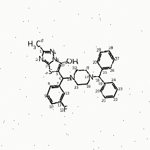 Cc1nc2sc(C(c3cccc(F)c3)N3CCN(C(c4ccccc4)c4ccccc4)CC3)c(O)n2n1